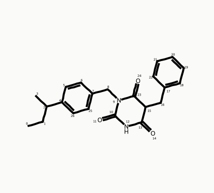 CCC(C)c1ccc(CN2C(=O)NC(=O)C(Cc3ccccc3)C2=O)cc1